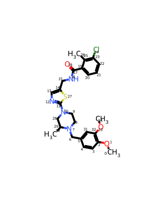 COc1ccc(CN2CCN(c3ncc(CNC(=O)c4cccc(Cl)c4C)s3)CC2C)cc1OC